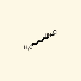 CCCCCCCN[C]=O